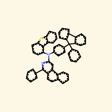 c1ccc(-c2nc(N(c3ccc(C4(c5ccccc5)c5ccccc5-c5ccccc54)cc3)c3cccc4sc5ccccc5c34)cc3c2ccc2ccccc23)cc1